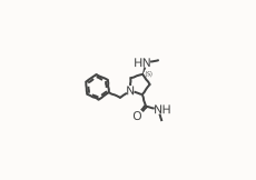 CNC(=O)C1C[C@H](NC)CN1Cc1ccccc1